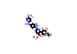 Cc1ccc(Nc2ccc3c(c2)ncn3-c2ccc(C(C)O)c(-c3ccn(CC(F)(F)F)c(=O)c3F)n2)nn1